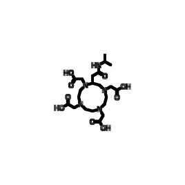 CC(C)NC(=O)CC1CN(CC(=O)O)CCN(CC(=O)O)CCN(CC(=O)O)CCN1CC(=O)O